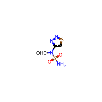 NS(=O)(=O)N(C=O)c1csnn1